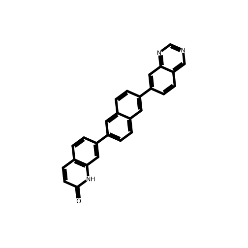 O=c1ccc2ccc(-c3ccc4cc(-c5ccc6cncnc6c5)ccc4c3)cc2[nH]1